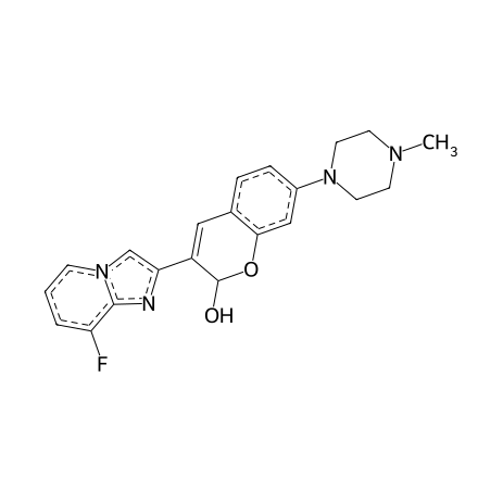 CN1CCN(c2ccc3c(c2)OC(O)C(c2cn4cccc(F)c4n2)=C3)CC1